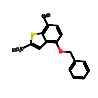 CCOC(=O)c1cc2c(OCc3ccccc3)ccc(C=O)c2s1